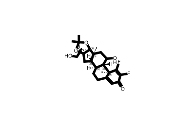 CC1(C)OC2C[C@H]3[C@@H]4CCC5=CC(=O)C(F)=C(F)[C@]5(C)[C@H]4C(O)C[C@]3(C)[C@]2(C(=O)CO)O1